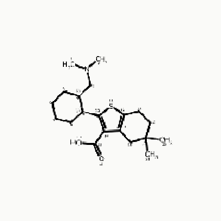 CN(C)C[C@@H]1CCCC[C@@H]1c1sc2c(c1C(=O)O)CC(C)(C)CC2